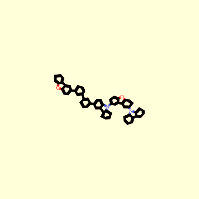 c1cc(-c2cccc(-c3ccc4c(c3)c3ccccc3n4-c3ccc4oc5ccc(-n6c7ccccc7c7ccccc76)cc5c4c3)c2)cc(-c2ccc3oc4ccccc4c3c2)c1